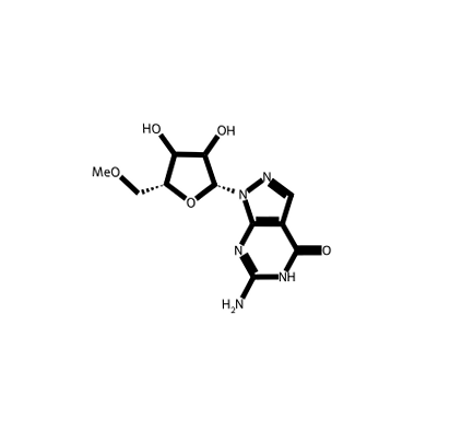 COC[C@H]1O[C@@H](n2ncc3c(=O)[nH]c(N)nc32)C(O)C1O